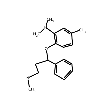 CNCCC(Oc1ccc(C)cc1N(C)C)c1ccccc1